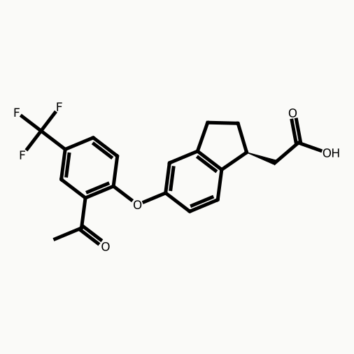 CC(=O)c1cc(C(F)(F)F)ccc1Oc1ccc2c(c1)CC[C@H]2CC(=O)O